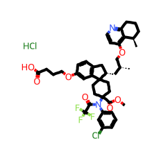 COC(=O)C1(N(C(=O)C(F)(F)F)c2cccc(Cl)c2)CCC2(CC1)c1cc(OCCCC(=O)O)ccc1C[C@@H]2C[C@@H](C)COc1ccnc2c1[C@H](C)CCC2.Cl